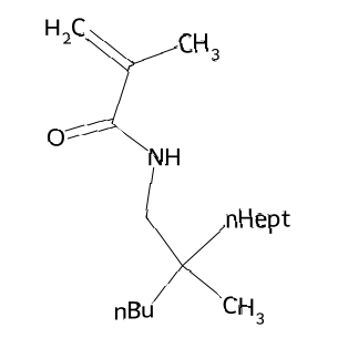 C=C(C)C(=O)NCC(C)(CCCC)CCCCCCC